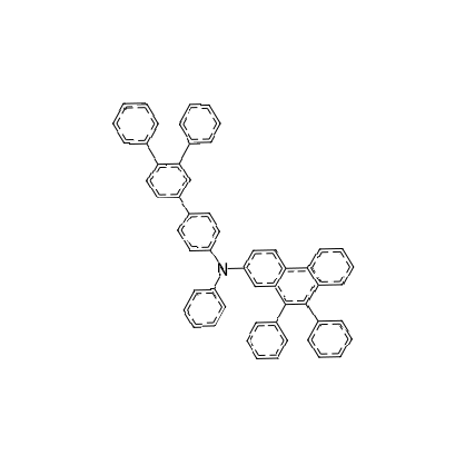 c1ccc(-c2ccc(-c3ccc(N(c4ccccc4)c4ccc5c(c4)c(-c4ccccc4)c(-c4ccccc4)c4ccccc45)cc3)cc2-c2ccccc2)cc1